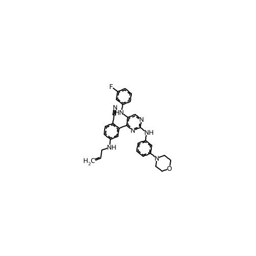 C=CCNc1ccc(C#N)c(-c2nc(Nc3cccc(N4CCOCC4)c3)ncc2Nc2cccc(F)c2)c1